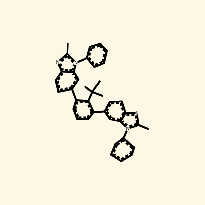 Cc1nc2ccc(-c3cccc(-c4ccc5nc(C)n(-c6ccccc6)c5c4)c3C(C)(C)C)cc2n1-c1ccccc1